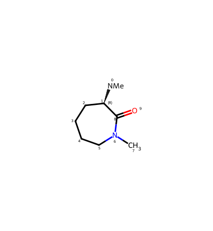 CN[C@@H]1CCCCN(C)C1=O